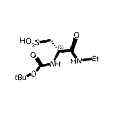 CCNC(=O)[C@@H](CS(=O)(=O)O)NC(=O)OC(C)(C)C